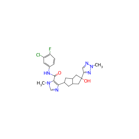 Cn1ncc(C2(O)CC3CC(c4ncn(C)c4C(=O)Nc4ccc(F)c(Cl)c4)CC3C2)n1